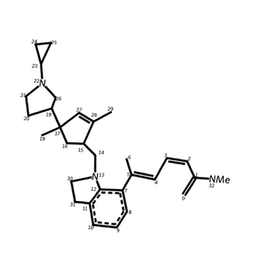 C=C(/C=C\C=C(/C)c1cccc2c1N(CC1CC(C)(C3CCN(C4CC4)C3)C=C1C)CC2)NC